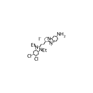 CCN1C(=CC=C2CCn3c2[n+](C)c2ccc(N)cc23)N(CC)c2cc(Cl)c(Cl)cc21.[I-]